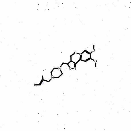 COc1cc2c(cc1OC)C1=NOC(CN3CCN(C/C(C)=C/I)CC3)C1CO2